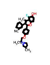 CC1=C(c2cccc(C#N)c2)C(c2ccc(OC[C@H](C)N3CC[C@@H](C)C3)cc2)Oc2ccc(O)c(F)c21